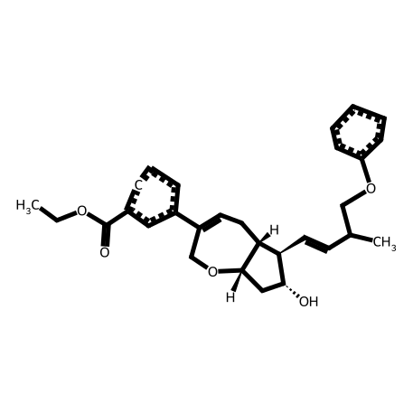 CCOC(=O)c1cccc(C2=CC[C@@H]3[C@@H](/C=C/C(C)COc4ccccc4)[C@H](O)C[C@@H]3OC2)c1